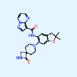 CC1(C)Cc2cc(NC(=O)c3cnn4cccnc34)c(N3CCC4(CC3)CNC4=O)cc2O1